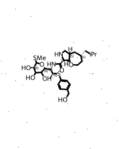 CSC1O[C@H]([C@H](NC(=O)[C@H]2NC[C@@H]3C[C@H](CC(C)C)CCO[C@H]32)[C@H](C)Sc2ccc(CO)cc2)C(O)C(O)[C@H]1O